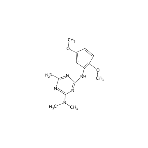 COc1ccc(OC)c(Nc2nc(N)nc(N(C)C)n2)c1